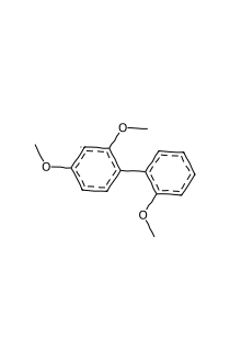 COc1[c]c(OC)c(-c2ccccc2OC)cc1